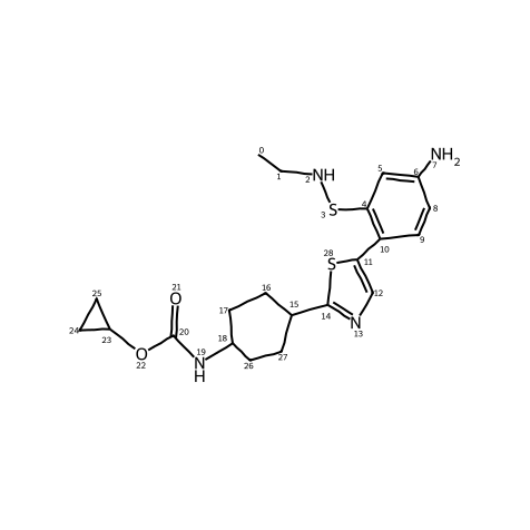 CCNSc1cc(N)ccc1-c1cnc(C2CCC(NC(=O)OC3CC3)CC2)s1